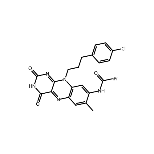 Cc1cc2nc3c(=O)[nH]c(=O)nc-3n(CCCc3ccc(Cl)cc3)c2cc1NC(=O)C(C)C